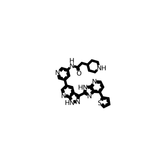 O=C(CC1CCNCC1)Nc1cncc(-c2cnc3[nH]nc(-c4nc5c(-c6cccs6)ccnc5[nH]4)c3c2)c1